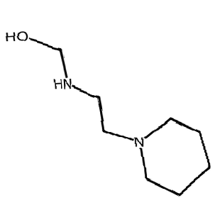 OCNCCN1CCCCC1